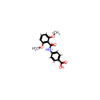 COc1cccc(OC)c1C(=O)Nc1ccc(C(=O)O)cc1